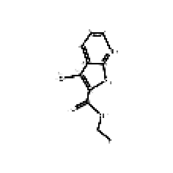 CCOC(=O)c1sc2ncccc2c1O